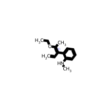 C=C/C(=C(/C)OCC)c1ccccc1NC